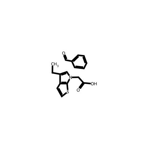 CCc1cn(CC(=O)O)c2sccc12.O=Cc1ccccc1